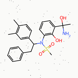 Cc1ccc(C(Cc2ccccc2)N(c2cccc(C(C)(N)O)c2O)S(C)(=O)=O)cc1C